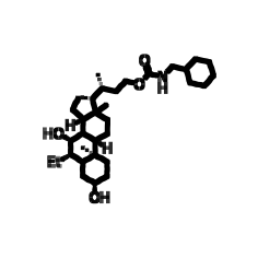 CC[C@@H]1C2C[C@H](O)CC[C@]2(C)[C@H]2CCC3(C)[C@@H]([C@H](C)CCOC(=O)NCC4CCCCC4)CC[C@H]3C2[C@@H]1O